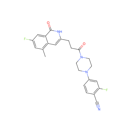 Cc1cc(F)cc2c(=O)[nH]c(CCC(=O)N3CCN(c4ccc(C#N)c(F)c4)CC3)cc12